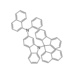 c1ccc(N(c2ccc3c4ccccc4n(C4(c5cccc6ccccc56)c5ccccc5-c5ccccc54)c3c2)c2cccc3ccccc23)cc1